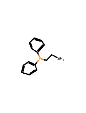 [SiH3]CCP(c1ccccc1)c1ccccc1